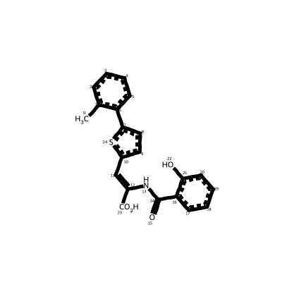 Cc1ccccc1-c1ccc(/C=C(\NC(=O)c2ccccc2O)C(=O)O)s1